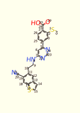 CSc1cc(-c2cc(NCCc3cc4ccsc4cc3C#N)ncn2)ccc1C(=O)O